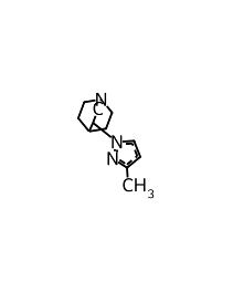 Cc1ccn(C2CN3CCC2CC3)n1